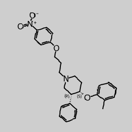 Cc1ccccc1O[C@H]1CCN(CCCOc2ccc([N+](=O)[O-])cc2)C[C@H]1c1ccccc1